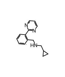 [c]1cccc(-c2ncccn2)c1CNCC1CC1